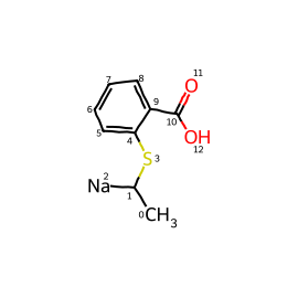 C[CH]([Na])Sc1ccccc1C(=O)O